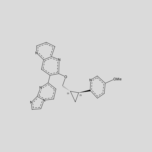 COc1ccc([C@H]2C[C@@H]2COc2nc3cccnc3cc2-c2ccn3ccnc3n2)nc1